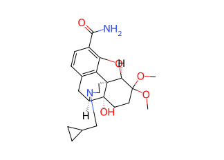 COC1(OC)CC[C@@]2(O)[C@H]3Cc4ccc(C(N)=O)c5c4[C@@]2(CCN3CC2CC2)[C@H]1O5